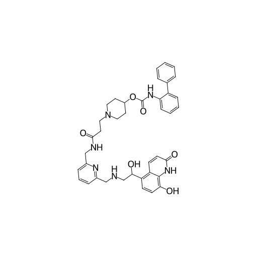 O=C(CCN1CCC(OC(=O)Nc2ccccc2-c2ccccc2)CC1)NCc1cccc(CNCC(O)c2ccc(O)c3[nH]c(=O)ccc23)n1